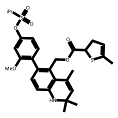 COc1cc(OS(=O)(=O)C(C)C)ccc1-c1ccc2c(c1COC(=O)C1CC=C(C)S1)C(C)=CC(C)(C)N2